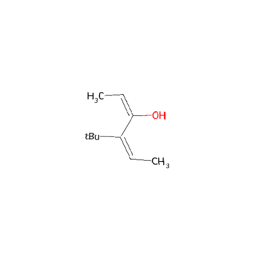 C/C=C(\C(O)=C/C)C(C)(C)C